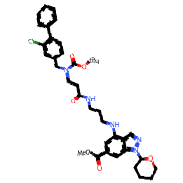 COC(=O)c1cc(NCCCNC(=O)CCN(Cc2ccc(-c3ccccc3)c(Cl)c2)C(=O)OC(C)(C)C)c2cnn(C3CCCCO3)c2c1